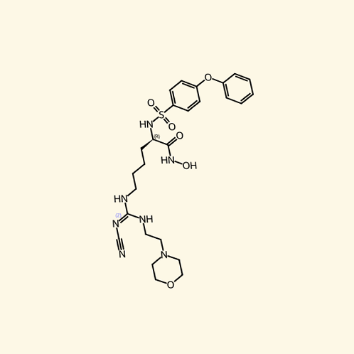 N#C/N=C(/NCCCC[C@@H](NS(=O)(=O)c1ccc(Oc2ccccc2)cc1)C(=O)NO)NCCN1CCOCC1